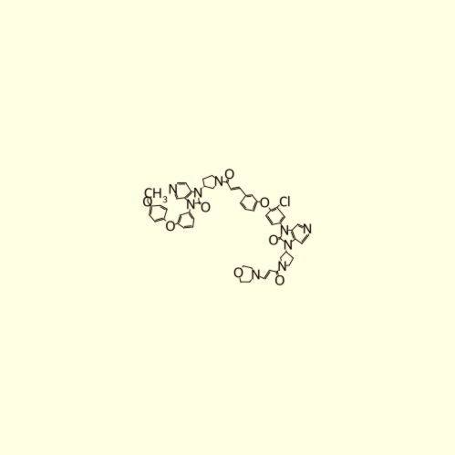 COc1ccc(Oc2cccc(-n3c(=O)n([C@@H]4CCN(C(=O)/C=C/c5cccc(Oc6ccc(-n7c(=O)n([C@@H]8CCN(C(=O)/C=C/N9CCOCC9)C8)c8ccncc87)cc6Cl)c5)C4)c4ccncc43)c2)cc1